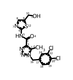 Cc1c(C(=O)Nc2ncc(CO)s2)nnn1Cc1ccc(Cl)c(Cl)c1